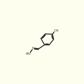 CC(C)(C)N=Cc1ccc(C#N)cc1